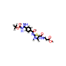 COC(=O)CCNC(=O)C1SC(=NC(=O)c2ccc(C(=N)NC(=O)OC(C)(C)C)cc2)N(C)C1C